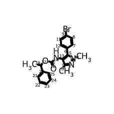 Cc1nn(C)c(-c2ccc(Br)cc2)c1NC(=O)OC(C)c1ccccc1